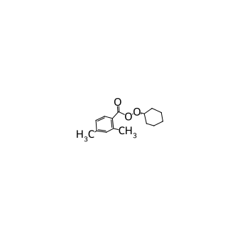 Cc1ccc(C(=O)OO[C]2CCCCC2)c(C)c1